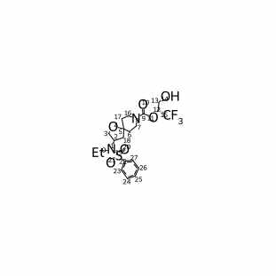 CCN([C@H]1COC2(CCN(C(=O)O[C@H](CO)C(F)(F)F)CC2)C1)S(=O)(=O)c1ccccc1